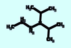 C[SiH2][SiH2]N(C(C)C)C(C)C